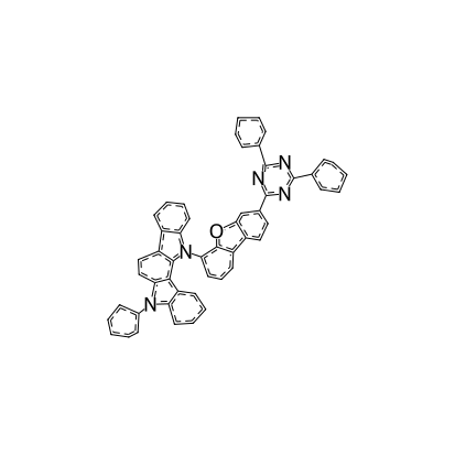 c1ccc(-c2nc(-c3ccccc3)nc(-c3ccc4c(c3)oc3c(-n5c6ccccc6c6ccc7c(c8ccccc8n7-c7ccccc7)c65)cccc34)n2)cc1